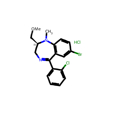 COC[C@@H]1CN=C(c2ccccc2Cl)c2cc(Br)ccc2N1C.Cl